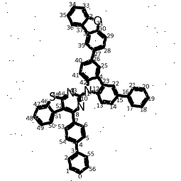 c1ccc(-c2ccc(-c3nc(-n4c5ccc(-c6ccccc6)cc5c5cc(-c6ccc7oc8ccccc8c7c6)ccc54)nc4sc5ccccc5c34)cc2)cc1